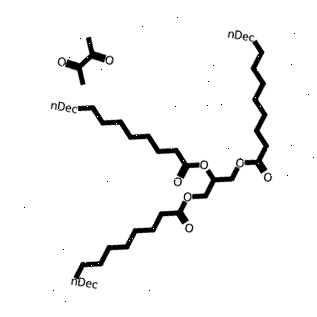 CC(=O)C(C)=O.CCCCCCCCCCCCCCCCCC(=O)OCC(COC(=O)CCCCCCCCCCCCCCCCC)OC(=O)CCCCCCCCCCCCCCCCC